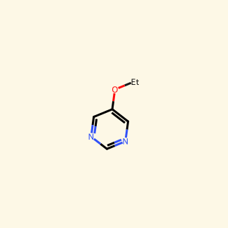 [CH2]COc1cncnc1